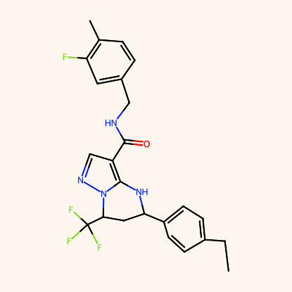 CCc1ccc(C2CC(C(F)(F)F)n3ncc(C(=O)NCc4ccc(C)c(F)c4)c3N2)cc1